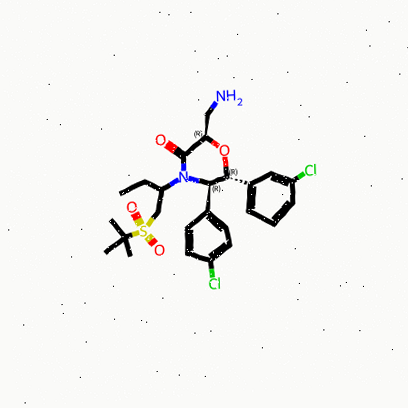 CCC(CS(=O)(=O)C(C)(C)C)N1C(=O)[C@@H](CN)O[C@H](c2cccc(Cl)c2)[C@H]1c1ccc(Cl)cc1